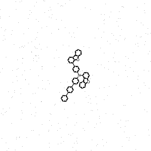 c1ccc(-c2ccc(-c3ccc(N(c4ccc(-c5cccc6c5oc5ccccc56)cc4)c4cccc5oc6ccccc6c45)cc3)cc2)cc1